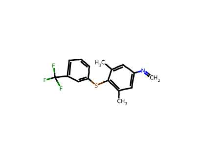 C=Nc1cc(C)c(Sc2cccc(C(F)(F)F)c2)c(C)c1